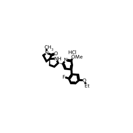 CCOc1ccc(F)c(-c2cc(OC)nc([C@@H]3CC[C@]4(CCN(C)C4=O)N3)c2)c1.Cl